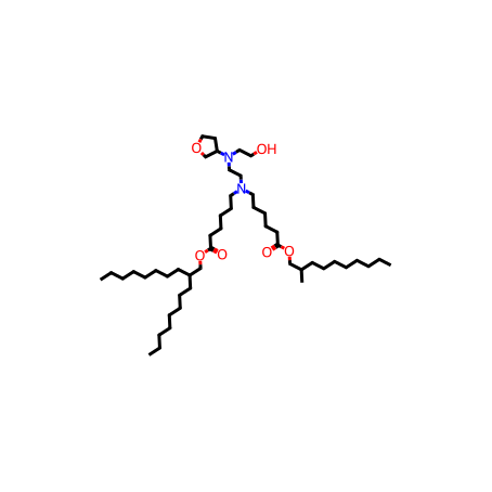 CCCCCCCCC(C)COC(=O)CCCCCN(CCCCCC(=O)OCC(CCCCCCCC)CCCCCCCC)CCN(CCO)C1CCOC1